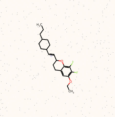 CCCC1CCC(/C=C/C2CCc3cc(OCC)c(F)c(F)c3O2)CC1